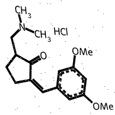 COc1cc(C=C2CCC(CN(C)C)C2=O)cc(OC)c1.Cl